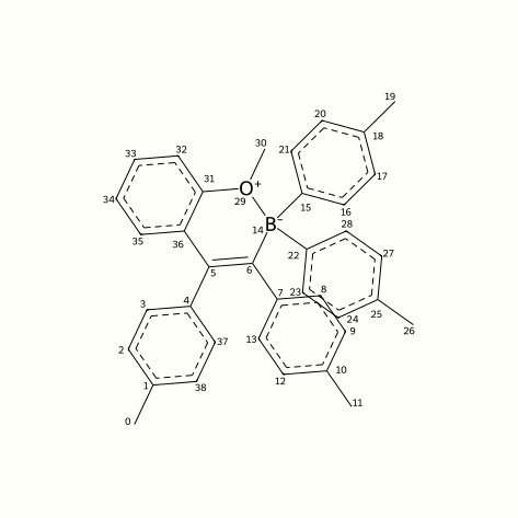 Cc1ccc(C2=C(c3ccc(C)cc3)[B-](c3ccc(C)cc3)(c3ccc(C)cc3)[O+](C)c3ccccc32)cc1